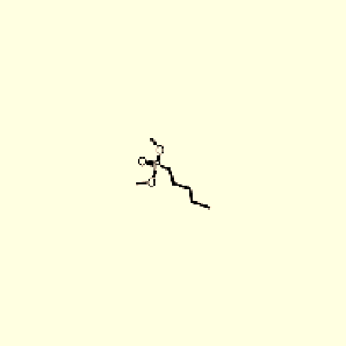 CCCCCP(=O)(OC)OC